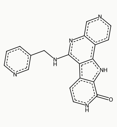 O=c1[nH]ccc2c1[nH]c1c3ccncc3nc(NCc3cccnc3)c21